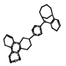 C1=CC2=C(CC1)N(c1ccc(C3CCc4c(c5c(c6ccccc46)CCC=C5)C3)cc1)C1CCCCC2C1